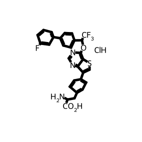 Cl.NC(Cc1ccc(-c2csc3c(OC(c4ccc(-c5cccc(F)c5)cc4)C(F)(F)F)ncnc23)cc1)C(=O)O